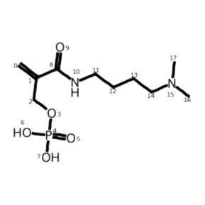 C=C(COP(=O)(O)O)C(=O)NCCCCN(C)C